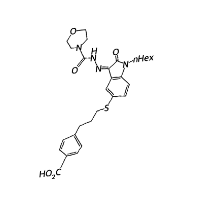 CCCCCCN1C(=O)C(=NNC(=O)N2CCOCC2)c2cc(SCCCc3ccc(C(=O)O)cc3)ccc21